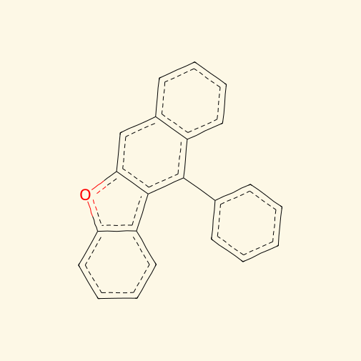 c1ccc(-c2c3ccccc3cc3oc4ccccc4c23)cc1